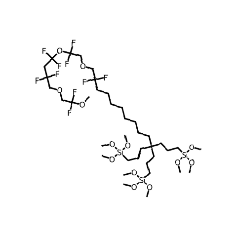 COC(F)(F)COCC(F)(F)CC(F)(F)OC(F)(F)COCC(F)(F)CCCCCCCCC(CCC[Si](OC)(OC)OC)(CCC[Si](OC)(OC)OC)CCC[Si](OC)(OC)OC